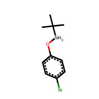 CC(C)(C)[SiH2]Oc1ccc(Br)cc1